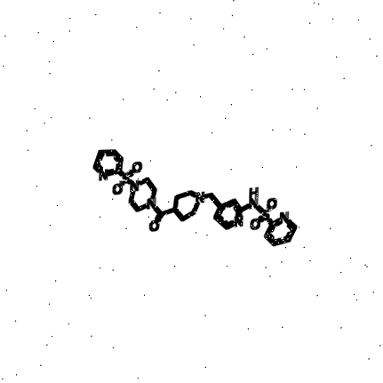 O=C(C1CCN(Cc2ccnc(NS(=O)(=O)c3ccccn3)c2)CC1)N1CCN(S(=O)(=O)c2ccccn2)CC1